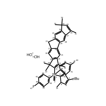 Cl.Cl.[CH2]=[Zr]([C]1=CC(C(C)(C)C)=CC1C)([C]1=C(C)c2cc3c(cc2C1(C)C)Cc1cc2c(cc1-3)C(C)=CC2(C)C)([c]1ccc(F)cc1)[c]1ccc(F)cc1